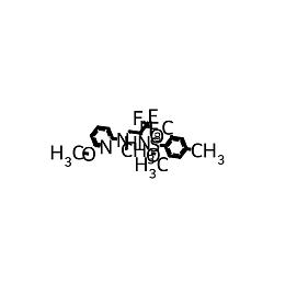 COc1cccc(N(C)CC(NS(=O)(=O)c2c(C)cc(C)cc2C)C(F)(F)F)n1